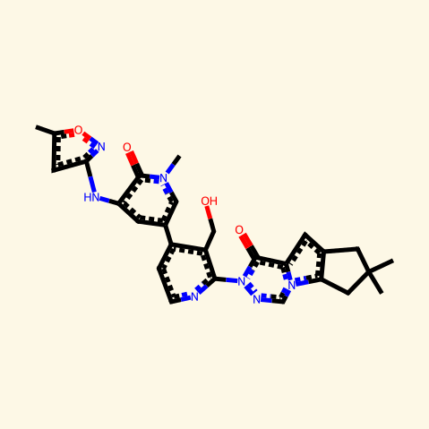 Cc1cc(Nc2cc(-c3ccnc(-n4ncn5c6c(cc5c4=O)CC(C)(C)C6)c3CO)cn(C)c2=O)no1